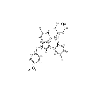 COc1ccc(Cn2nc(-c3cc(C)ncn3)c3c(NC4CCOCC4)nc(C)cc32)cc1